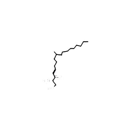 CCCCCCCCCC(C)CCC/C=C/[C@@H](O)[C@@H](N)CO